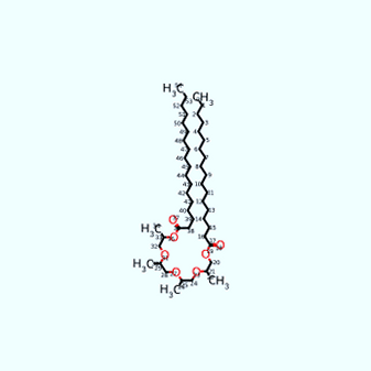 CCCCCCCCCCCCCCCCCC(=O)OCC(C)OCC(C)OCC(C)OCC(C)OC(=O)CCCCCCCCCCCCCCCCC